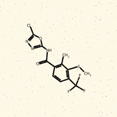 CSc1c(C(F)(F)F)ccc(C(=O)Nc2nnc(Cl)o2)c1C